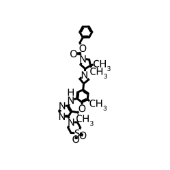 Cc1cc(C2CN(C3CN(C(=O)OCc4ccccc4)CC3(C)C)C2)cc2c1O[C@H](C)c1c(ncnc1N1CCS(=O)(=O)CC1)N2